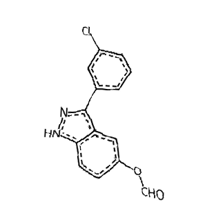 O=COc1ccc2[nH]nc(-c3cccc(Cl)c3)c2c1